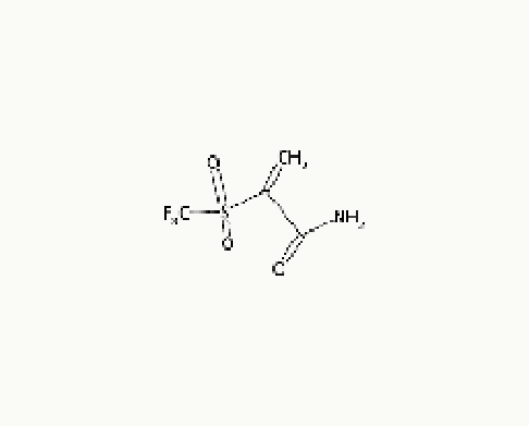 C=C(C(N)=O)S(=O)(=O)C(F)(F)F